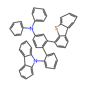 c1ccc(N(c2ccccc2)c2ccc(-c3ccccc3-n3c4ccccc4c4ccccc43)c(-c3cccc4c3sc3ccccc34)c2)cc1